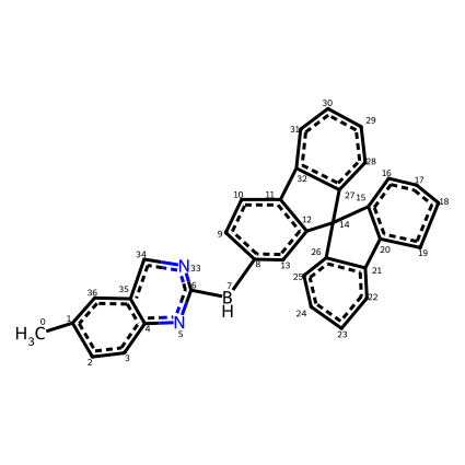 Cc1ccc2nc(Bc3ccc4c(c3)C3(c5ccccc5-c5ccccc53)c3ccccc3-4)ncc2c1